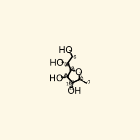 C[C@@H]1O[C@H]([C@H](O)CO)[C@H](O)[C@@H]1O